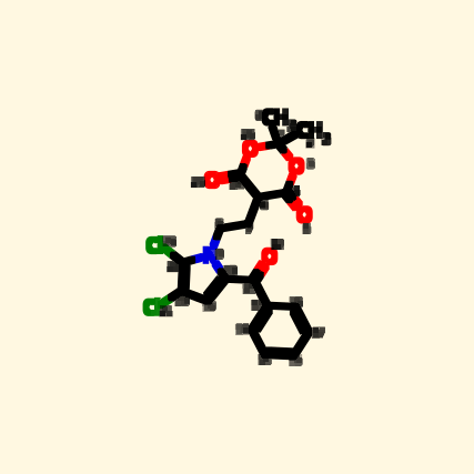 CC1(C)OC(=O)C(CCn2c(C(=O)c3ccccc3)cc(Cl)c2Cl)C(=O)O1